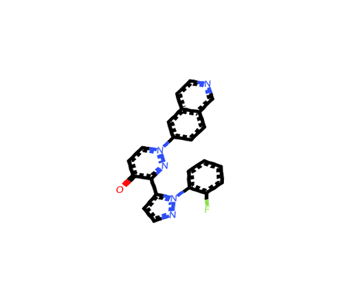 O=c1ccn(-c2ccc3cnccc3c2)nc1-c1ccnn1-c1ccccc1F